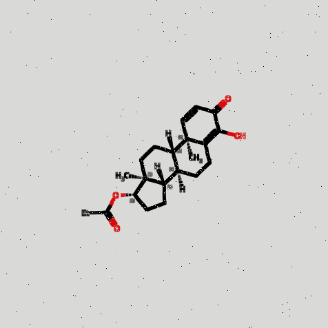 CCC(=O)O[C@H]1CC[C@H]2[C@@H]3CCC4=C(O)C(=O)C=C[C@]4(C)[C@H]3CC[C@]12C